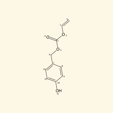 C=COC(=O)OCc1ccc(O)cc1